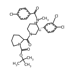 CN(C(=O)c1ccc(Cl)cc1)[C@@H]1CCN(C(=O)C2CCCCN2C(=O)OC(C)(C)C)C[C@H]1c1ccc(Cl)c(Cl)c1